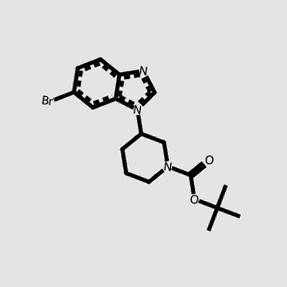 CC(C)(C)OC(=O)N1CCCC(n2cnc3ccc(Br)cc32)C1